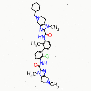 Cc1c(NC(=O)c2nc3c(n2C)CCN(CC2CCCCC2)C3)cccc1-c1cccc(NC(=O)c2nc3c(n2C)CCN(C)C3)c1Cl